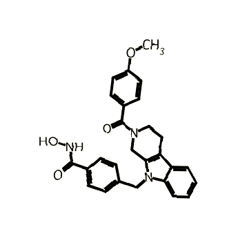 COc1ccc(C(=O)N2CCc3c(n(Cc4ccc(C(=O)NO)cc4)c4ccccc34)C2)cc1